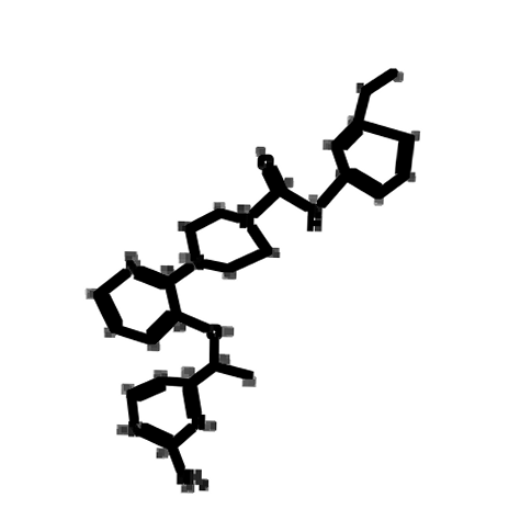 CCc1cccc(NC(=O)N2CCN(c3ncccc3OC(C)c3ccnc(N)n3)CC2)c1